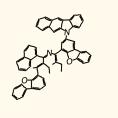 CC/C(C)=C(/N=C(\C(CC)=C(/C)c1cccc2c1oc1ccccc12)c1cccc2ccccc12)c1cc(-n2c3ccccc3c3cc4ccccc4cc32)cc2c1oc1ccccc12